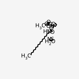 CCCCCCCCCCCCCCCCCCNC(=O)OCC1(COP(=O)(O)OCC)CCCO1.O.c1cscn1